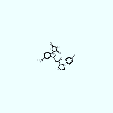 C[C@H]1CC[C@@H](c2ccc(F)cc2)N1C(=O)CC1C[C@@]2(OC(=O)NC2=O)c2ccc(N)cc21